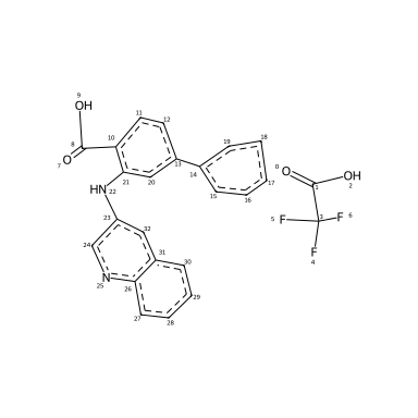 O=C(O)C(F)(F)F.O=C(O)c1ccc(-c2ccccc2)cc1Nc1cnc2ccccc2c1